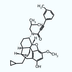 COc1cc(O)c2c3c1O[C@H]1[C@@H](N(CC(C)C)C(=O)C#Cc4cccc(C)c4)CC[C@H]4[C@@H](C2)N(CC2CC2)CC[C@@]341